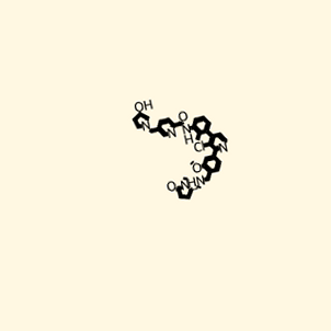 COc1cc(-c2nccc(-c3cccc(NC(=O)c4ccc(CN5CC[C@@H](O)C5)cn4)c3C)c2Cl)ccc1CNC[C@@H]1CCC(=O)N1C